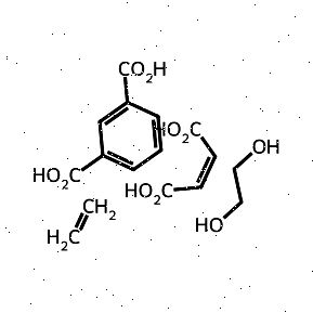 C=C.O=C(O)/C=C\C(=O)O.O=C(O)c1cccc(C(=O)O)c1.OCCO